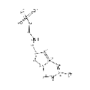 CCS(=O)(=O)CCNCC1CN2C=NC(C(C)C)=CC2=N1